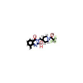 Cc1cccc2c(=O)n(CC3(O)CCN(C(=O)C(F)(F)F)CC3)cnc12